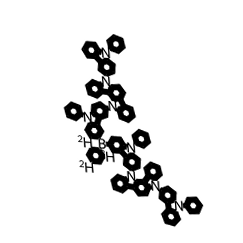 [2H]c1cc([2H])c(B(c2ccc3c(c2)c2cc(-n4c5ccccc5c5ccc6c(c7ccccc7n6-c6ccc7c(c6)c6ccccc6n7-c6ccccc6)c54)ccc2n3-c2ccccc2)c2ccc3c(c2)c2cc(-n4c5ccccc5c5ccc6c(c7ccccc7n6-c6ccc7c(c6)c6ccccc6n7-c6ccccc6)c54)ccc2n3-c2ccccc2)c([2H])c1